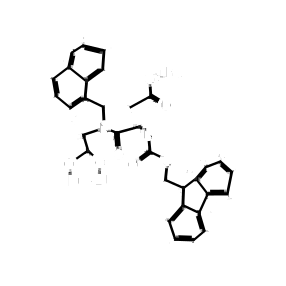 CCOC(OCC)[C@H](C)N(Cc1cccc2ccccc12)C(=O)[C@H](CC(=O)OC(C)(C)C)NC(=O)OCC1c2ccccc2-c2ccccc21